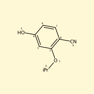 CC(C)Oc1cc(O)ccc1C#N